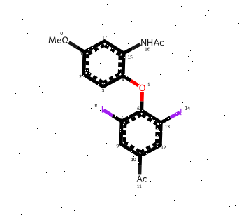 COc1ccc(Oc2c(I)cc(C(C)=O)cc2I)c(NC(C)=O)c1